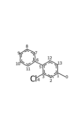 Cc1[c]c(Cl)c(-c2ccccc2)cc1